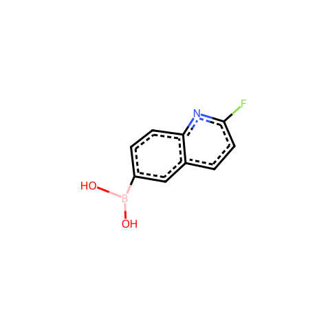 OB(O)c1ccc2nc(F)ccc2c1